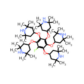 CC1(C)CC(Oc2c(F)c(OC3CC(C)(C)NC(C)(C)C3)c(OC3CC(C)(C)NC(C)(C)C3)c(OC3CC(C)(C)NC(C)(C)C3)c2OC2CC(C)(C)NC(C)(C)C2)CC(C)(C)N1